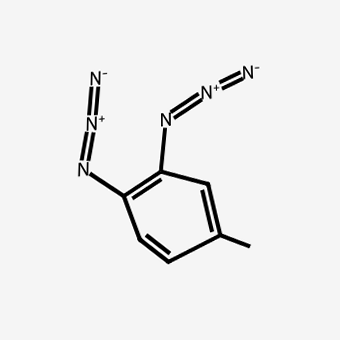 Cc1ccc(N=[N+]=[N-])c(N=[N+]=[N-])c1